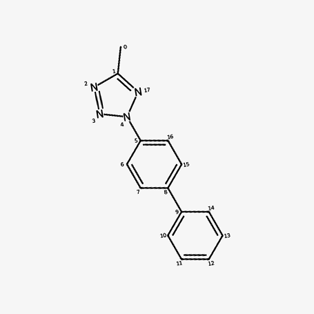 Cc1nnn(-c2ccc(-c3ccccc3)cc2)n1